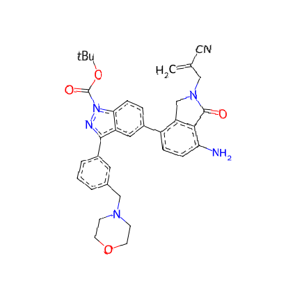 C=C(C#N)CN1Cc2c(-c3ccc4c(c3)c(-c3cccc(CN5CCOCC5)c3)nn4C(=O)OC(C)(C)C)ccc(N)c2C1=O